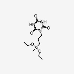 CCO[Si](C)(CCCn1c(=O)[nH]c(=O)[nH]c1=O)OCC